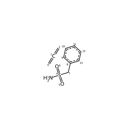 C=C=C.NS(=O)(=O)Cc1ccccc1